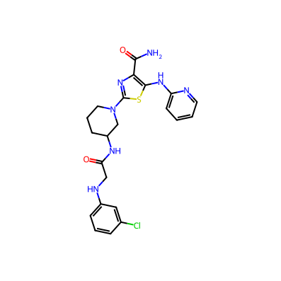 NC(=O)c1nc(N2CCCC(NC(=O)CNc3cccc(Cl)c3)C2)sc1Nc1ccccn1